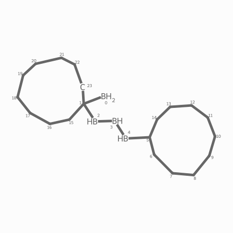 BC1(BBBC2CCCCCCCCC2)CCCCCCCCC1